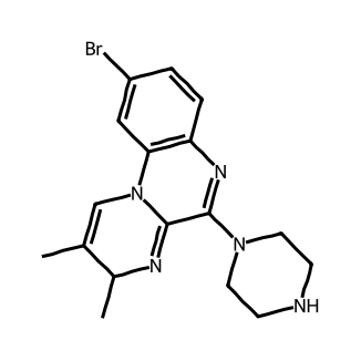 CC1=CN2C(=NC1C)C(N1CCNCC1)=Nc1ccc(Br)cc12